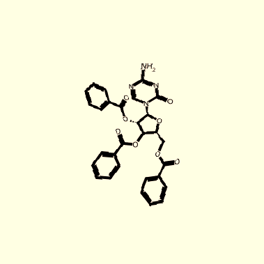 Nc1ncn([C@H]2O[C@@H](COC(=O)c3ccccc3)C(OC(=O)c3ccccc3)[C@@H]2OC(=O)c2ccccc2)c(=O)n1